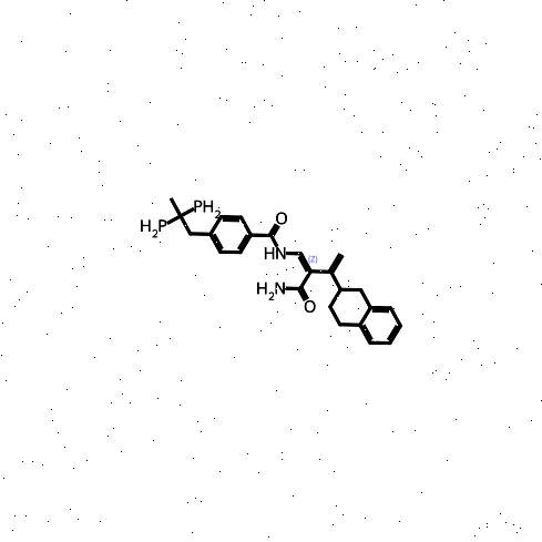 C=C(/C(=C/NC(=O)c1ccc(CC(C)(P)P)cc1)C(N)=O)C1CCc2ccccc2C1